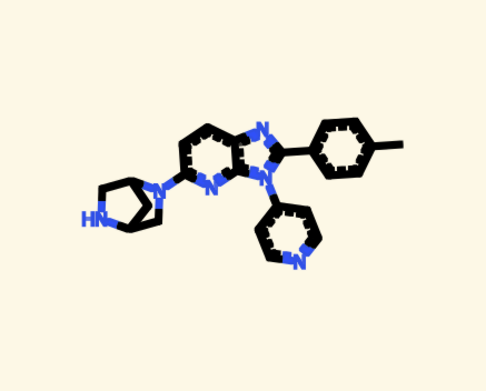 Cc1ccc(-c2nc3ccc(N4CC5CC4CN5)nc3n2-c2ccncc2)cc1